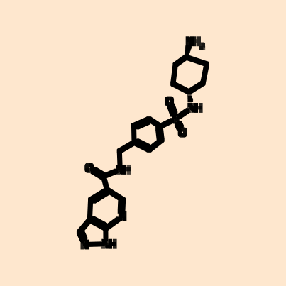 N[C@H]1CC[C@H](NS(=O)(=O)c2ccc(CNC(=O)c3cnc4[nH]ncc4c3)cc2)CC1